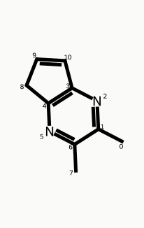 Cc1nc2c(nc1C)CC=C2